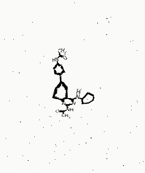 CC(=O)Nc1ccc(-c2ccc3nc(NC(C)=O)nc(NC4CCCCC4)c3c2)cc1